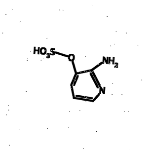 Nc1ncccc1OS(=O)(=O)O